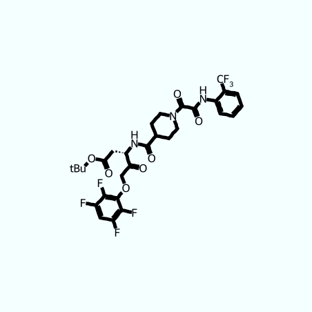 CC(C)(C)OC(=O)C[C@H](NC(=O)C1CCN(C(=O)C(=O)Nc2ccccc2C(F)(F)F)CC1)C(=O)COc1c(F)c(F)cc(F)c1F